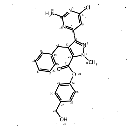 Cn1nc(-c2cc(Cl)nc(N)n2)c(Cc2ccccc2)c1C(=O)Oc1ccc(CO)cc1